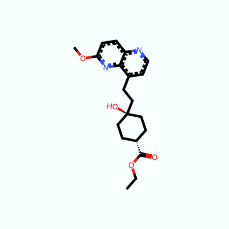 CCOC(=O)[C@H]1CC[C@@](O)(CCc2ccnc3ccc(OC)nc23)CC1